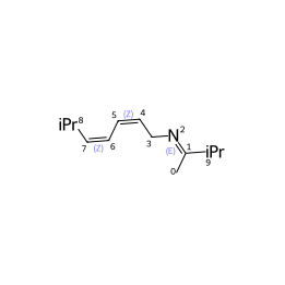 C/C(=N\C/C=C\C=C/C(C)C)C(C)C